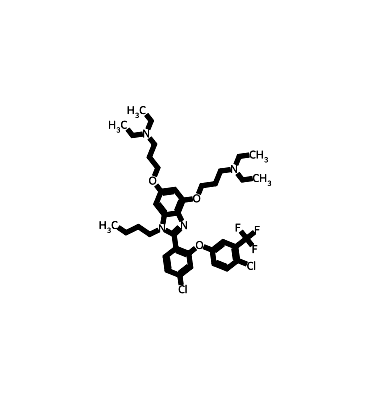 CCCCn1c(-c2ccc(Cl)cc2Oc2ccc(Cl)c(C(F)(F)F)c2)nc2c(OCCCN(CC)CC)cc(OCCCN(CC)CC)cc21